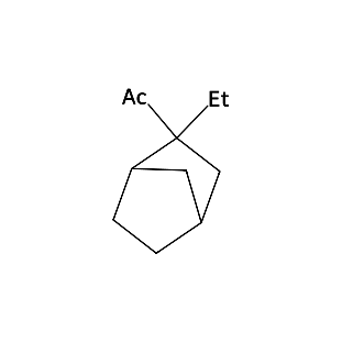 CCC1(C(C)=O)CC2CCC1C2